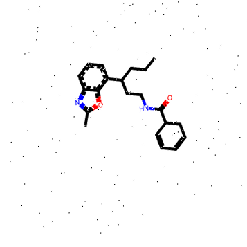 CCCC(CCNC(=O)C1C=CC=CC1)c1cccc2nc(C)oc12